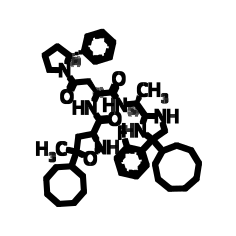 C[C@H](NC(=O)[C@H](CC(=O)N1CCC[C@@H]1c1ccccc1)NC(=O)C1CC(C)(C2CCCCCCC2)ON1)C1NCC(c2ccccc2F)(C2CCCCCCCC2)N1